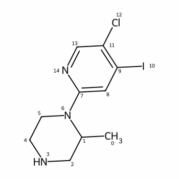 CC1CNCCN1c1cc(I)c(Cl)cn1